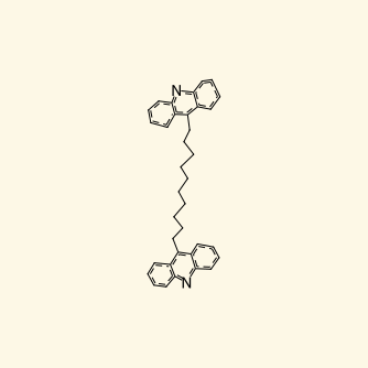 c1ccc2c(CCCCCCCCCCc3c4ccccc4nc4ccccc34)c3ccccc3nc2c1